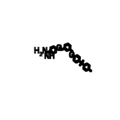 Cc1ccc(C(C)(C)c2ccc(OCc3cccc(COc4ccc(C(=N)N)cc4)c3)cc2)cc1